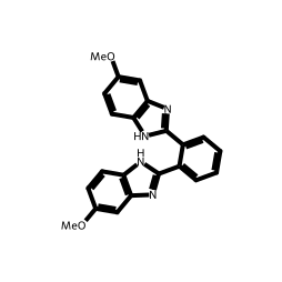 COc1ccc2[nH]c(-c3ccccc3-c3nc4cc(OC)ccc4[nH]3)nc2c1